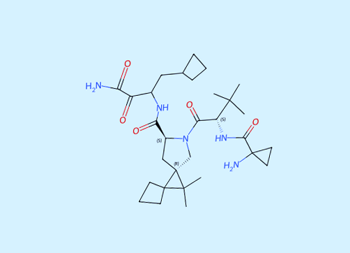 CC(C)(C)[C@H](NC(=O)C1(N)CC1)C(=O)N1C[C@]2(C[C@H]1C(=O)NC(CC1CCC1)C(=O)C(N)=O)C(C)(C)C21CCC1